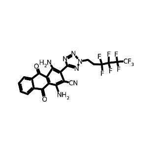 N#Cc1c(N)c2c(c(N)c1-c1nnn(CCC(F)(F)C(F)(F)C(F)(F)C(F)(F)F)n1)C(=O)c1ccccc1C2=O